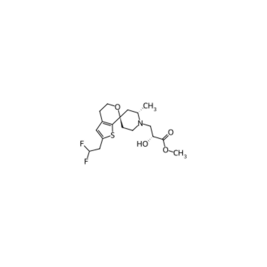 COC(=O)[C@H](O)CN1CC[C@]2(C[C@@H]1C)OCCc1cc(CC(F)F)sc12